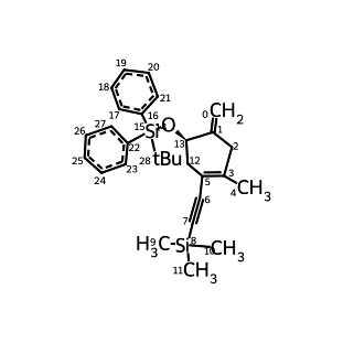 C=C1CC(C)=C(C#C[Si](C)(C)C)C[C@H]1O[Si](c1ccccc1)(c1ccccc1)C(C)(C)C